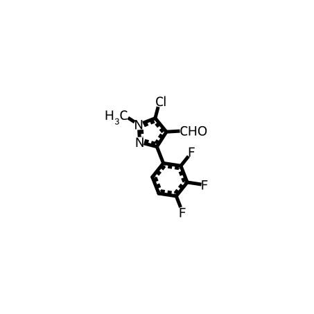 Cn1nc(-c2ccc(F)c(F)c2F)c(C=O)c1Cl